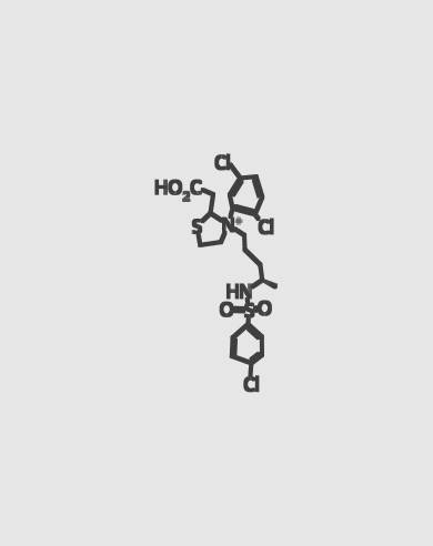 C[C@H](CCC[N+]1(c2cc(Cl)ccc2Cl)CCSC1CC(=O)O)NS(=O)(=O)c1ccc(Cl)cc1